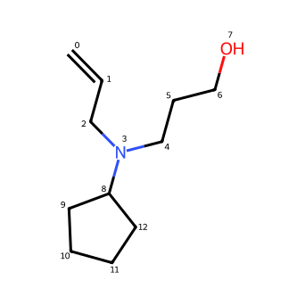 C=CCN(CCCO)C1CCCC1